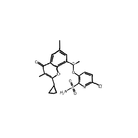 Cc1cc([C@@H](C)Oc2ccc(Cl)nc2S(N)(=O)=O)c2oc(C3CC3)c(C)c(=O)c2c1